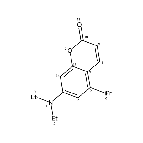 CCN(CC)c1cc(C(C)C)c2ccc(=O)oc2c1